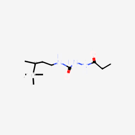 CCC(=O)NNC(=O)NCC[CH](C)[Sn]([CH3])([CH3])[CH3]